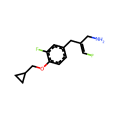 NCC(=CF)Cc1ccc(OCC2CC2)c(F)c1